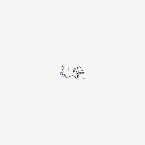 N/N=C\c1ccc2nc1C2